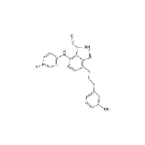 O=CC1NC=Cc2c(CCCc3cccc(O)c3)cnc(Nc3ccc(F)cc3)c21